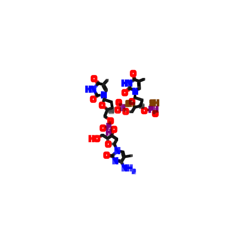 Cc1cn(C2CC(O[PH](=O)OCC3OC(n4cc(C)c(=O)[nH]c4=O)C[C@@H]3OP(=O)(S)OCC3OC(n4cc(C)c(=O)[nH]c4=O)C[C@@H]3O[PH](=O)S)C(CO)O2)c(=O)nc1N